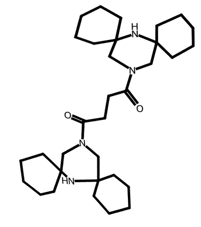 O=C(CCC(=O)N1CC2(CCCCC2)NC2(CCCCC2)C1)N1CC2(CCCCC2)NC2(CCCCC2)C1